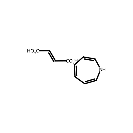 C1=CC=CNC=C1.O=C(O)C=CC(=O)O